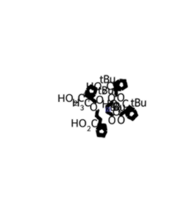 CC(C)(C)C1(C(=O)O)C2C=CC(C2)C1(C(=O)OC(=O)/C=C\C(=O)OC(=O)C1(C(C)(C)C)C2C=CC(C2)C1(C(=O)O)C(C)(C)C)C(C)(C)C.C[C@@]1(C(=O)OCCCC2(C(=O)O)CC3C=CC2C3)C2C=CC(C2)[C@@H]1C(=O)O